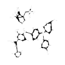 CC1(C)C2CCC1(CS(=O)(=O)[O-])C(=O)C2.O=C(c1ccccc1)c1ccc(Sc2ccc([S+](c3ccc(F)cc3)c3ccc(F)cc3)cc2)c(Cl)c1